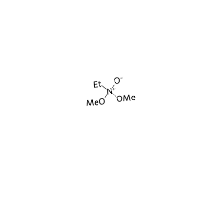 CC[N+]([O-])(OC)OC